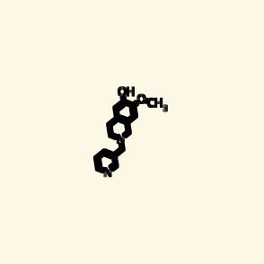 COc1cc2c(cc1O)CCN(Cc1cccnc1)C2